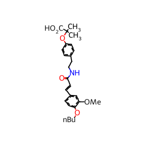 CCCCOc1ccc(C=CC(=O)NCCc2ccc(OC(C)(C)C(=O)O)cc2)cc1OC